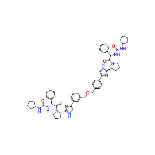 O=C(NC1CCCC1)N[C@@H](C(=O)N1CCC[C@H]1c1nc(-c2ccc(COCc3cccc(-c4c[nH]c([C@@H]5CCCN5C(=O)[C@H](NC(=O)NC5CCCC5)c5ccccc5)n4)c3)cc2)c[nH]1)c1ccccc1